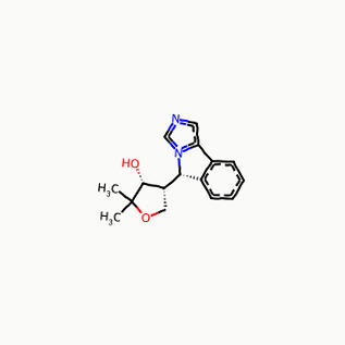 CC1(C)OC[C@@H]([C@H]2c3ccccc3-c3cncn32)[C@H]1O